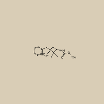 CC(C)(C)OC(=O)N[C@@H]1C[C@](Cc2ccccc2)(C(=O)O)C1(C)C